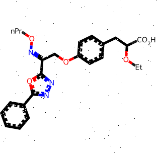 CCCO/N=C(\COc1ccc(CC(OCC)C(=O)O)cc1)c1nnc(-c2ccccc2)o1